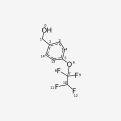 OCc1ccc(OC(F)(F)C(F)F)cc1